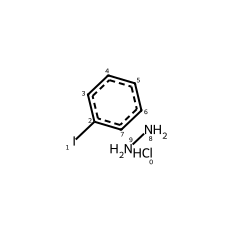 Cl.Ic1ccccc1.NN